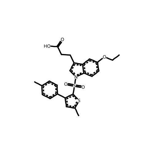 CCOc1ccc2c(c1)c(CCC(=O)O)cn2S(=O)(=O)c1sc(C)cc1-c1ccc(C)cc1